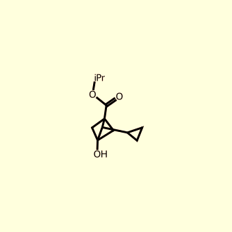 CC(C)OC(=O)C12CC(O)(C1)C2C1CC1